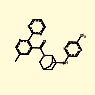 Cc1cnc(-c2ncccn2)c(C(=O)N2CC3CCC2C(Nc2cnc(C(F)(F)F)cn2)C3)c1